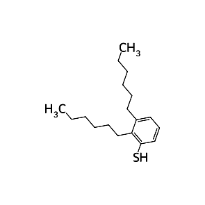 CCCCCCc1cccc(S)c1CCCCCC